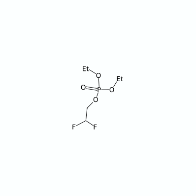 CCOP(=O)(OCC)OCC(F)F